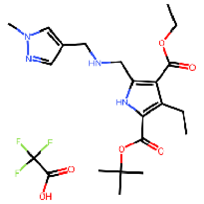 CCOC(=O)c1c(CNCc2cnn(C)c2)[nH]c(C(=O)OC(C)(C)C)c1CC.O=C(O)C(F)(F)F